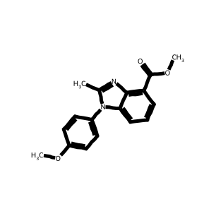 COC(=O)c1cccc2c1nc(C)n2-c1ccc(OC)cc1